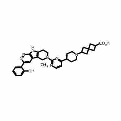 C[C@@H]1c2c([nH]c3nnc(-c4ccccc4O)cc23)CCN1c1nccc(C2CCN(C3CC4(CC(C(=O)O)C4)C3)CC2)n1